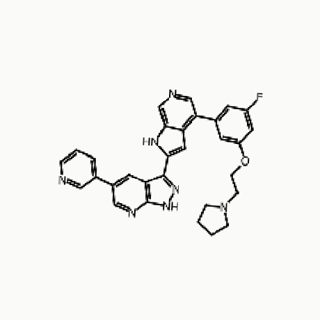 Fc1cc(OCCN2CCCC2)cc(-c2cncc3[nH]c(-c4n[nH]c5ncc(-c6cccnc6)cc45)cc23)c1